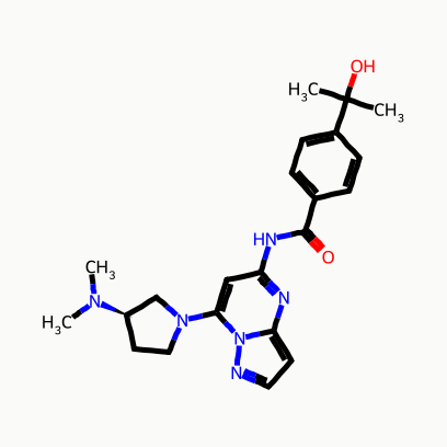 CN(C)[C@@H]1CCN(c2cc(NC(=O)c3ccc(C(C)(C)O)cc3)nc3ccnn23)C1